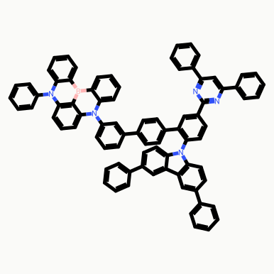 c1ccc(-c2ccc3c(c2)c2cc(-c4ccccc4)ccc2n3-c2ccc(-c3nc(-c4ccccc4)cc(-c4ccccc4)n3)cc2-c2ccc(-c3cccc(N4c5ccccc5B5c6ccccc6N(c6ccccc6)c6cccc4c65)c3)cc2)cc1